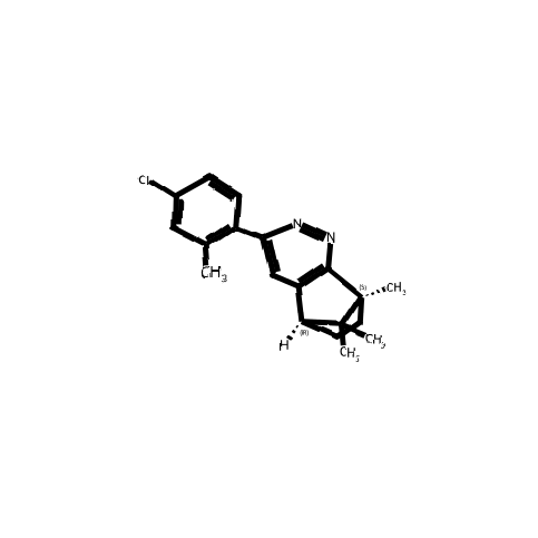 Cc1cc(Cl)ccc1-c1cc2c(nn1)[C@@]1(C)CC[C@@H]2C1(C)C